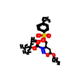 COC(=O)CC(COS(=O)(=O)c1ccc(C)cc1)NC(=O)OC(C)(C)C